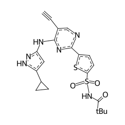 C#Cc1cnc(-c2ccc(S(=O)(=O)NC(=O)C(C)(C)C)s2)nc1Nc1cc(C2CC2)[nH]n1